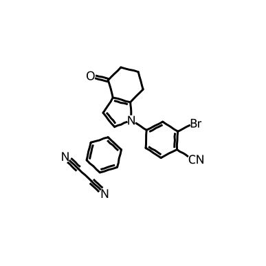 N#CC#N.N#Cc1ccc(-n2ccc3c2CCCC3=O)cc1Br.c1ccccc1